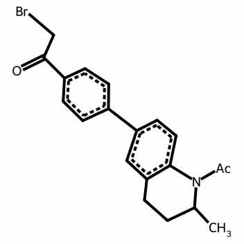 CC(=O)N1c2ccc(-c3ccc(C(=O)CBr)cc3)cc2CCC1C